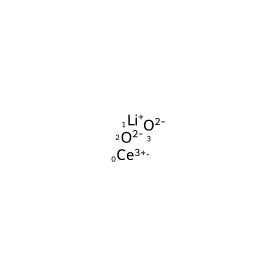 [Ce+3].[Li+].[O-2].[O-2]